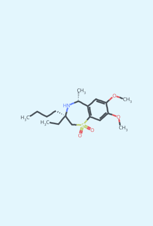 CCCC[C@@]1(CC)CS(=O)(=O)c2cc(OC)c(OC)cc2[C@@H](C)N1